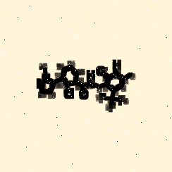 Cc1cc(C(F)(F)F)c(CNC(=O)c2cccc(-c3ccnn3C)c2Cl)c(=O)[nH]1